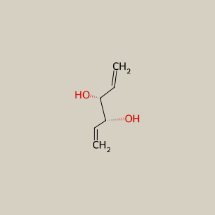 C=C[C@@H](O)[C@H](O)C=C